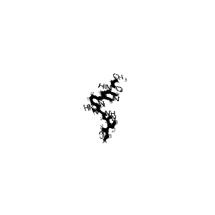 CCCC(=O)Nc1cncc(-c2ccc3[nH]nc(-c4cc5c(-c6ccoc6)ccnc5[nH]4)c3n2)c1